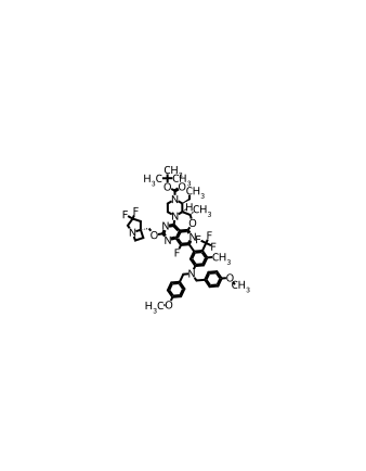 CC[C@H]1[C@H]2[C@H](C)Oc3nc(-c4cc(N(Cc5ccc(OC)cc5)Cc5ccc(OC)cc5)cc(C)c4C(F)(F)F)c(F)c4nc(OC[C@]56CCN5CC(F)(F)C6)nc(c34)N2CCN1C(=O)OC(C)(C)C